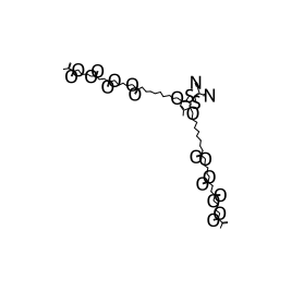 C=C(C)C(=O)OCCOC(=O)CCC(=O)OCCCOC(=O)CCCCCCCCOc1cc(C)c(OCCCCCCCCC(=O)OCCCOC(=O)CCC(=O)OCCOC(=O)C(=C)C)c2c1SC(=C(C#N)C#N)S2